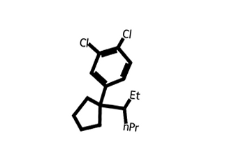 CCCC(CC)C1(c2ccc(Cl)c(Cl)c2)CCCC1